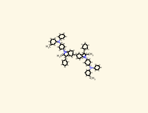 Cc1cccc(N(c2ccccc2)c2ccc(-n3c(C)c(-c4ccccc4)c4cc(-c5ccc6c(c5)c(-c5ccccc5)c(C)n6-c5ccc(N(c6ccccc6)c6cccc(C)c6)cc5)ccc43)cc2)c1